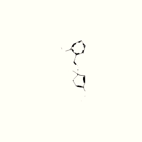 COC1=CCC(C)(/N=C/c2ccccc2OC)C=C1